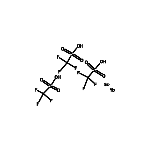 O=S(=O)(O)C(F)(F)F.O=S(=O)(O)C(F)(F)F.O=S(=O)(O)C(F)(F)F.[Sc].[Yb]